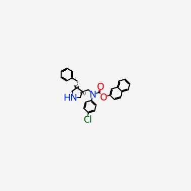 O=C(Oc1ccc2ccccc2c1)N(C[C@H]1CNC[C@@H]1Cc1ccccc1)c1ccc(Cl)cc1